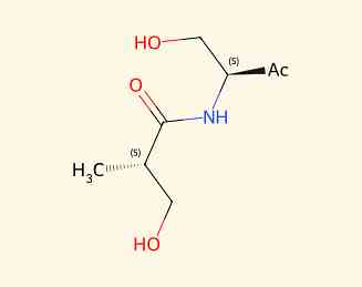 CC(=O)[C@H](CO)NC(=O)[C@@H](C)CO